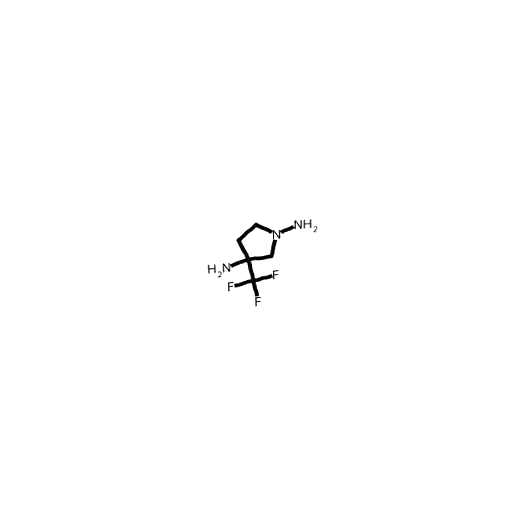 NN1CCC(N)(C(F)(F)F)C1